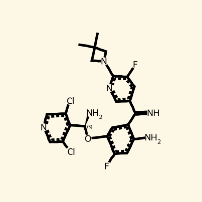 CC1(C)CN(c2ncc(C(=N)c3cc(O[C@H](N)c4c(Cl)cncc4Cl)c(F)cc3N)cc2F)C1